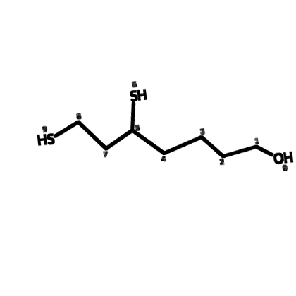 OCCCCC(S)CCS